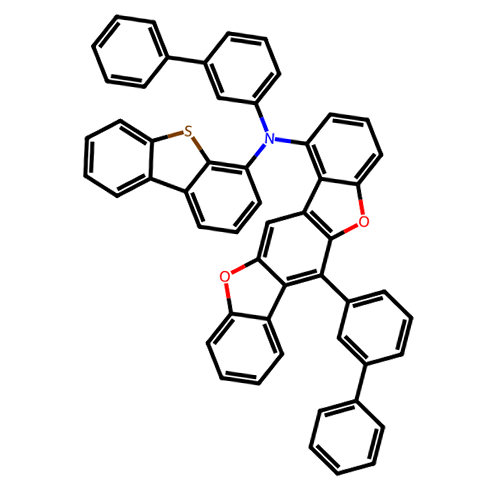 c1ccc(-c2cccc(-c3c4oc5cccc(N(c6cccc(-c7ccccc7)c6)c6cccc7c6sc6ccccc67)c5c4cc4oc5ccccc5c34)c2)cc1